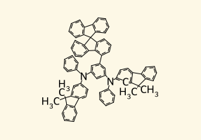 CC1(C)c2ccccc2-c2ccc(N(c3ccccc3)c3cc(-c4cccc5c4-c4ccccc4C54c5ccccc5-c5ccccc54)cc(N(c4ccccc4)c4ccc5c(c4)C(C)(C)c4ccccc4-5)c3)cc21